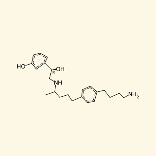 CC(CCCc1ccc(CCCCN)cc1)NC[C@H](O)c1cccc(O)c1